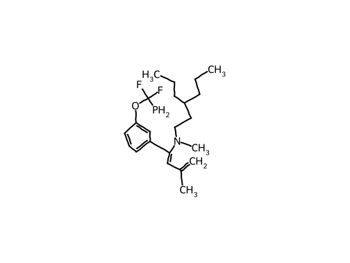 C=C(C)/C=C(/c1cccc(OC(F)(F)P)c1)N(C)CCC(CCC)CCC